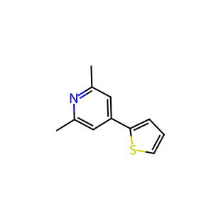 Cc1cc(-c2cccs2)cc(C)n1